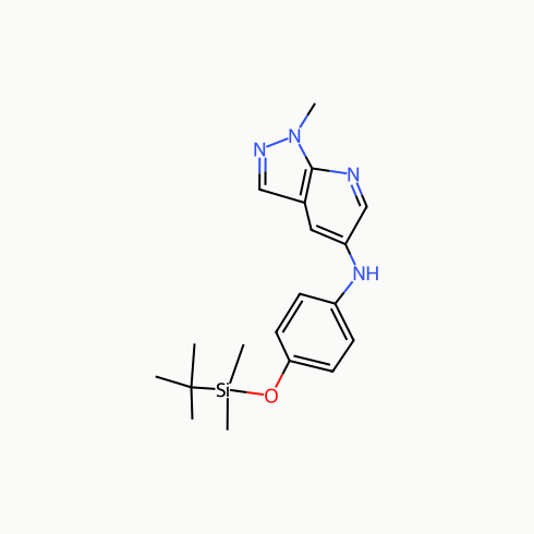 Cn1ncc2cc(Nc3ccc(O[Si](C)(C)C(C)(C)C)cc3)cnc21